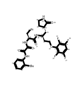 CC(C)C[C@H](NC(=O)C(=O)Nc1ccccc1C(C)(C)C)C(=O)N[C@H](CCOc1c(F)c(F)cc(F)c1F)C[C@@H]1CCNC1=O